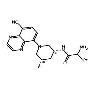 CC(C)C(N)C(=O)N[C@@H]1C[C@H](C)CN(c2ccc(C#N)c3nccnc23)C1